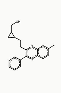 Cc1ccc2nc(-c3ccccc3)c(CCC3CC3CO)nc2c1